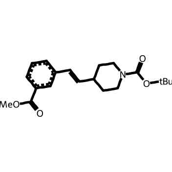 COC(=O)c1cccc(/C=C/C2CCN(C(=O)OC(C)(C)C)CC2)c1